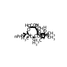 CCCN1CC([C@@H]2COC(=O)C(C)(C)C(=O)[C@H](C)[C@@H](O[C@@H]3O[C@H](C)C[C@H](N(C)C)[C@H]3O)[C@](C)(OC)C[C@@H](C)CN2C)C1